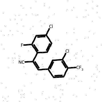 N#CC(=Cc1ccc(C(F)(F)F)c(Cl)c1)c1ccc(Cl)cc1F